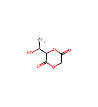 CC(O)C1OC(=O)COC1=O